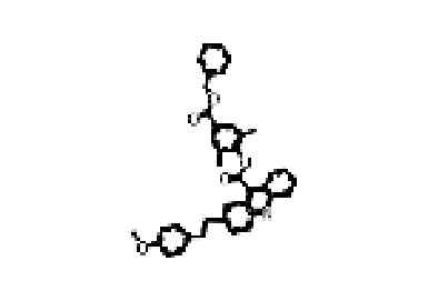 COc1ccc(/C=C/c2ccc3nc4ccccc4c(C(=O)Oc4c(C)cc(C(=O)OCc5ccccc5)cc4C)c3c2)cc1